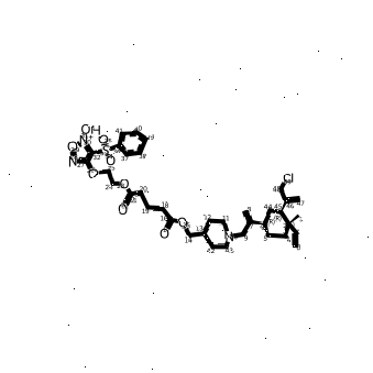 C=C[C@]1(C)CC[C@@H](C(=C)CN2CCC(COC(=O)CCCC(=O)OCCOc3no[n+](O)c3S(=O)(=O)c3ccccc3)CC2)C[C@H]1C(=C)CCl